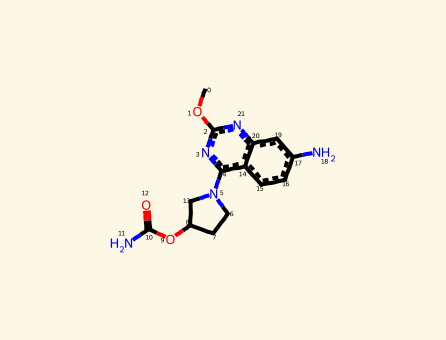 COc1nc(N2CCC(OC(N)=O)C2)c2ccc(N)cc2n1